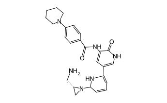 NC[C@H]1CN1C1C=CC=C(c2c[nH]c(=O)c(NC(=O)c3ccc(N4CCCCC4)cc3)c2)N1